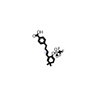 CC1(C)C=C(/C=C/CCc2ccc(C(=O)O)cc2)C(OS(=O)(=O)C(F)(F)F)=CC1